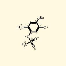 Cc1cc(C(C)(C)C)c(Cl)cc1OS(=O)(=O)C(F)(F)F